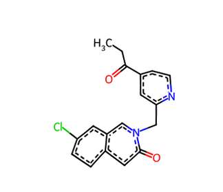 CCC(=O)c1ccnc(Cn2cc3cc(Cl)ccc3cc2=O)c1